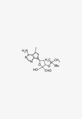 CC(C)(C)[Si](C)(C)OC1C[C@H](n2cc(I)c3c(N)ncnc32)OC1(C=O)CO